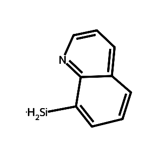 [SiH2]c1cccc2cccnc12